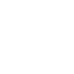 N#Cc1cnc(Nc2ccc3ncc4c(c3c2)-c2cnc(C(F)(F)F)nc2C4=O)cn1